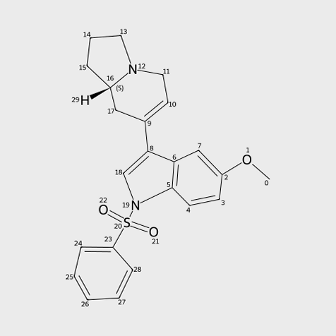 COc1ccc2c(c1)c(C1=CCN3CCC[C@H]3C1)cn2S(=O)(=O)c1ccccc1